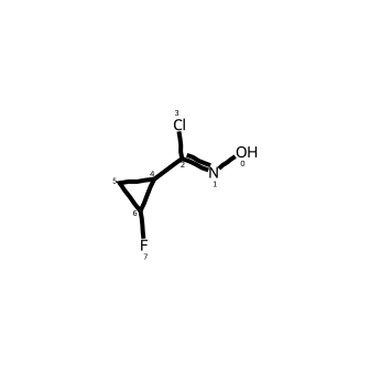 ON=C(Cl)C1CC1F